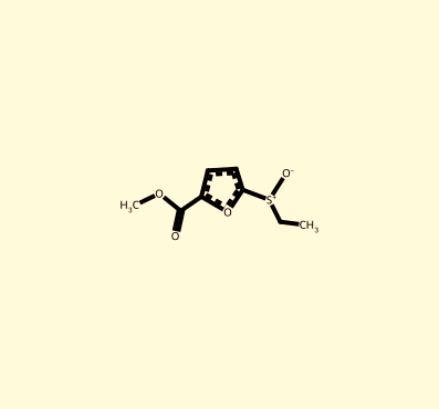 CC[S+]([O-])c1ccc(C(=O)OC)o1